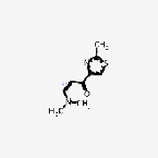 Cc1nc(C(=O)/C=C\N(C)C)cs1